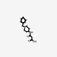 O=C(O)CC(=O)NC1CCN(Cc2ccccc2)CC1